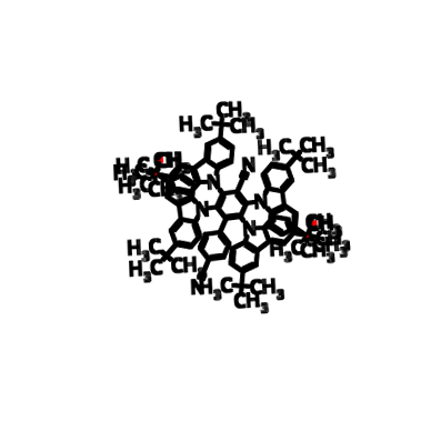 CC(C)(C)c1ccc2c(c1)c1cc(C(C)(C)C)ccc1n2-c1c(C#N)c(-n2c3ccc(C(C)(C)C)cc3c3cc(C(C)(C)C)ccc32)c(-n2c3ccc(C(C)(C)C)cc3c3cc(C(C)(C)C)ccc32)c(-c2ccc(C#N)cc2)c1-n1c2ccc(C(C)(C)C)cc2c2cc(C(C)(C)C)ccc21